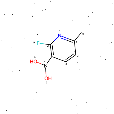 Cc1ccc(B(O)O)c(F)n1